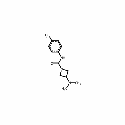 Cc1ccc(NC(=O)N2CC(N(C)C)C2)cc1